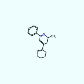 CC1CC(C2=CCCCC2)=CC(c2ccccc2)=N1